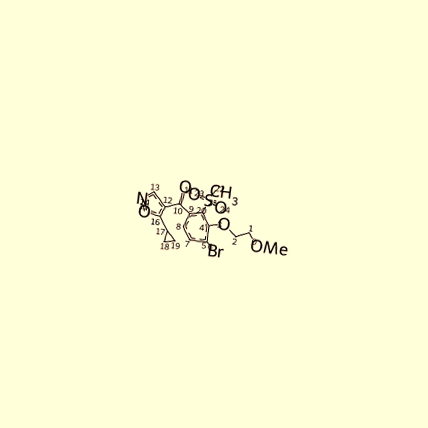 COCCOc1c(Br)ccc(C(=O)c2cnoc2C2CC2)c1S(C)(=O)=O